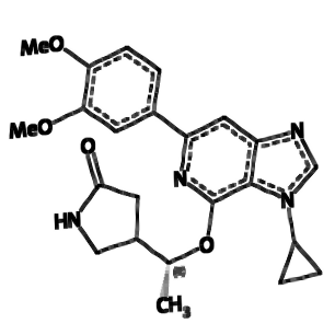 COc1ccc(-c2cc3ncn(C4CC4)c3c(O[C@H](C)C3CNC(=O)C3)n2)cc1OC